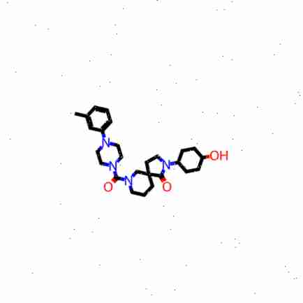 Cc1cccc(N2CCN(C(=O)N3CCCC4(CCN(C5CCC(O)CC5)C4=O)C3)CC2)c1